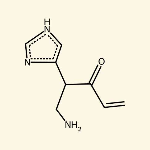 C=CC(=O)C(CN)c1c[nH]cn1